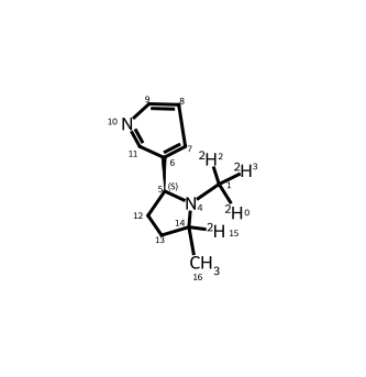 [2H]C([2H])([2H])N1[C@H](c2cccnc2)CCC1([2H])C